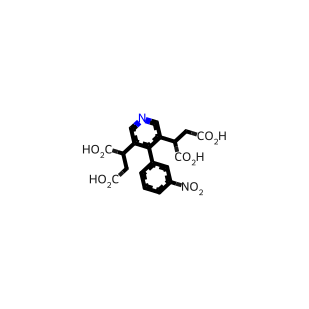 O=C(O)CC(C(=O)O)c1cncc(C(CC(=O)O)C(=O)O)c1-c1cccc([N+](=O)[O-])c1